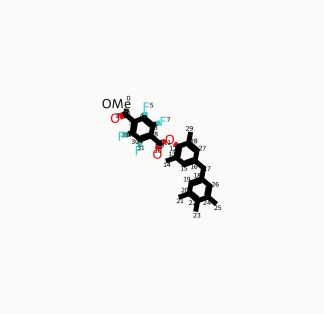 COC(=O)c1c(F)c(F)c(C(=O)Oc2c(C)cc(Cc3cc(C)c(C)c(C)c3)cc2C)c(F)c1F